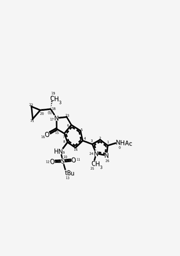 CC(=O)Nc1cc(-c2cc3c(c(NS(=O)(=O)C(C)(C)C)c2)C(=O)N([C@@H](C)C2CC2)C3)n(C)n1